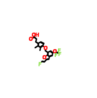 Cc1c(CCC(=O)O)ccc(OCc2cc(OC(F)(F)F)cc3cc(C=CF)oc23)c1C